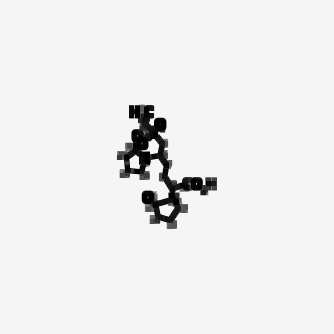 C=CS(=O)(=O)CC(CCC(C(=O)O)N1CCCC1=O)N1CCCC1=O